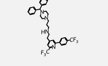 FC(F)(F)c1ccc(-c2cc(CCNCCCN3CCN(C(c4ccccc4)c4ccccc4)CC3)cc(C(F)(F)F)n2)cc1